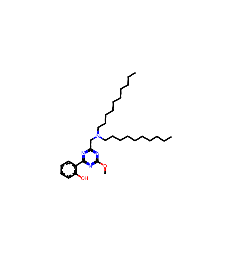 CCCCCCCCCCN(CCCCCCCCCC)Cc1nc(OC)nc(-c2ccccc2O)n1